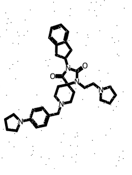 O=C1N(C2Cc3ccccc3C2)C(=O)C2(CCN(Cc3ccc(N4CCCC4)cc3)CC2)N1CCN1CCCC1